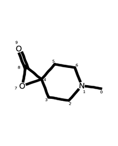 CN1CCC2(CC1)OC2=O